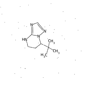 CC(C)(C)C1CCNc2ncnn21